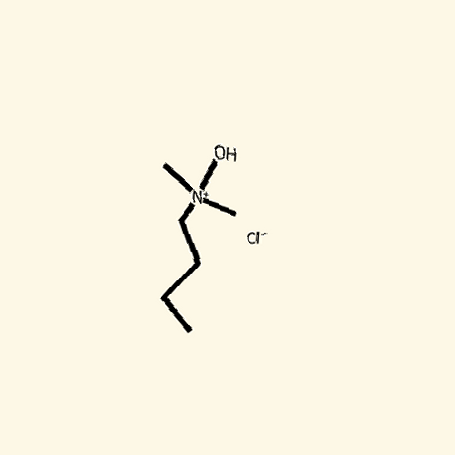 CCCC[N+](C)(C)O.[Cl-]